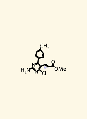 COC(=O)/C=C/c1c(Cl)nc(N)nc1-c1ccc(C)cc1